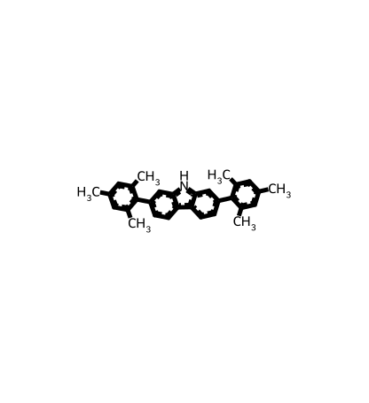 Cc1cc(C)c(-c2ccc3c(c2)[nH]c2cc(-c4c(C)cc(C)cc4C)ccc23)c(C)c1